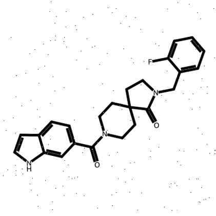 O=C(c1ccc2cc[nH]c2c1)N1CCC2(CC1)CCN(Cc1ccccc1F)C2=O